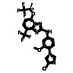 COc1cc(Nc2nc3c(C(F)(F)F)ccc(O[C@@H](C)C(F)(F)F)n3n2)ccc1-n1cnc(Cl)c1